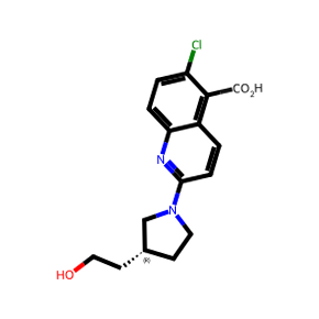 O=C(O)c1c(Cl)ccc2nc(N3CC[C@H](CCO)C3)ccc12